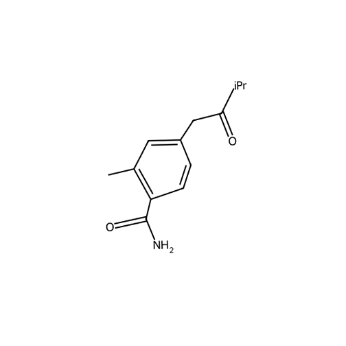 Cc1cc(CC(=O)C(C)C)ccc1C(N)=O